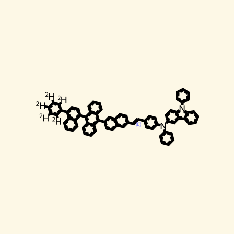 [2H]c1c([2H])c([2H])c(-c2ccc(-c3c4ccccc4c(-c4ccc5cc(/C=C/c6ccc(N(c7ccccc7)c7ccc8c(c7)c7ccccc7n8-c7ccccc7)cc6)ccc5c4)c4ccccc34)c3ccccc23)c([2H])c1[2H]